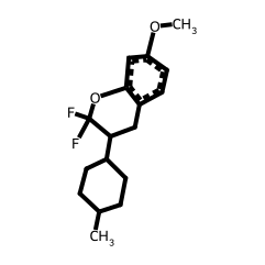 COc1ccc2c(c1)OC(F)(F)C(C1CCC(C)CC1)C2